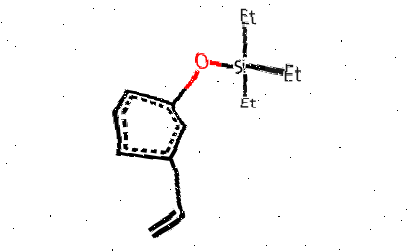 C=Cc1cccc(O[Si](CC)(CC)CC)c1